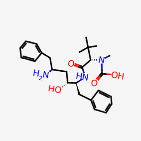 CN(C(=O)O)[C@H](C(=O)N[C@@H](Cc1ccccc1)[C@H](O)C[C@@H](N)Cc1ccccc1)C(C)(C)C